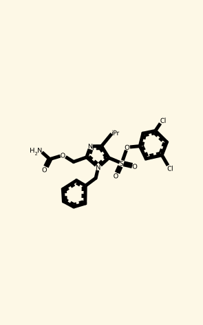 CC(C)c1nc(COC(N)=O)n(Cc2ccccc2)c1S(=O)(=O)Oc1cc(Cl)cc(Cl)c1